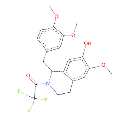 COc1cc2c(cc1O)C(Cc1ccc(OC)c(OC)c1)N(C(=O)C(F)(F)F)CC2